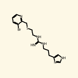 N=C(NCCCc1c[nH]cn1)NCCSCc1ncccc1Br